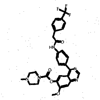 COc1cc2ncnc(-c3ccc(NC(=O)Cc4ccc(C(F)(F)F)cc4)cc3)c2cc1OC(=O)N1CCN(C)CC1